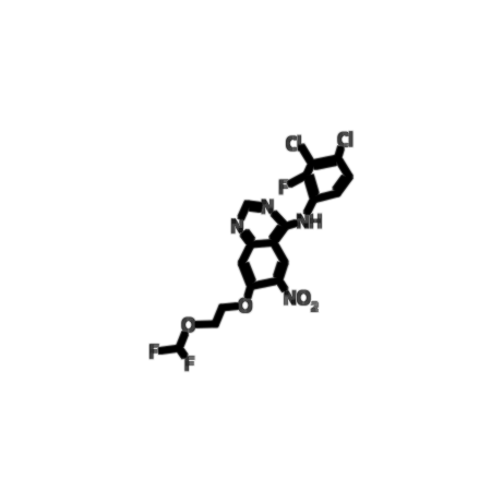 O=[N+]([O-])c1cc2c(Nc3ccc(Cl)c(Cl)c3F)ncnc2cc1OCCOC(F)F